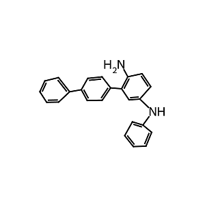 Nc1ccc(Nc2ccccc2)cc1-c1ccc(-c2ccccc2)cc1